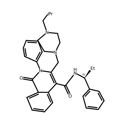 CC[C@H](NC(=O)c1c(CN2CCN(CC(C)C)CC2)n(-c2ccccc2)c(=O)c2ccccc12)c1ccccc1